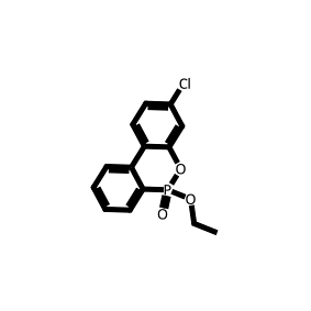 CCOP1(=O)Oc2cc(Cl)ccc2-c2ccccc21